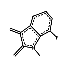 C=c1c(=C)n(C)c2c(F)cccc12